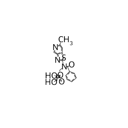 Cc1cc2sc(N(COP(=O)(O)O)C(=O)c3ccccc3)nc2cn1